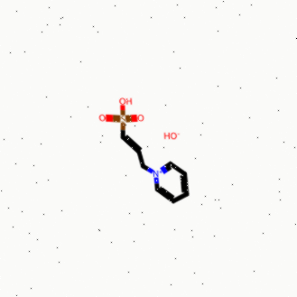 O=S(=O)(O)C=CC[n+]1ccccc1.[OH-]